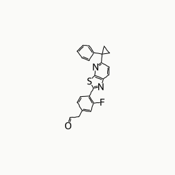 O=CCc1ccc(-c2nc3ccc(C4(c5ccccc5)CC4)nc3s2)c(F)c1